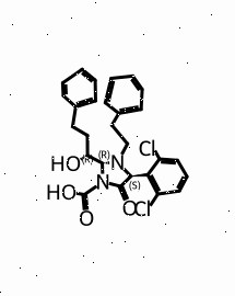 O=C(O)N1C(=O)[C@H](c2c(Cl)cccc2Cl)N(CCc2ccccc2)[C@H]1[C@H](O)CCc1ccccc1